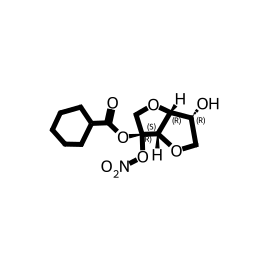 O=C(O[C@@]1(O[N+](=O)[O-])CO[C@@H]2[C@H](O)CO[C@@H]21)C1CCCCC1